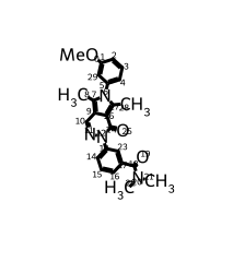 COc1cccc(-n2c(C)c3cnn(-c4cccc(C(=O)N(C)C)c4)c(=O)c3c2C)c1